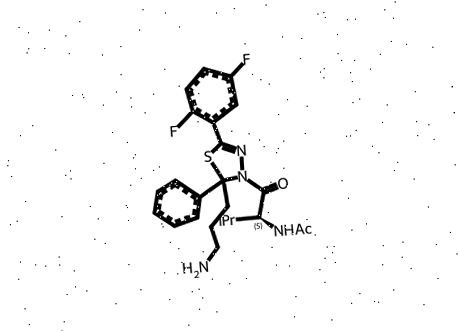 CC(=O)N[C@H](C(=O)N1N=C(c2cc(F)ccc2F)SC1(CCCN)c1ccccc1)C(C)C